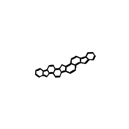 C1=c2ccccc2=c2ccc3c4c(ccc3c21)=c1ccc2c3c(ccc2c1C4)=c1ccccc1=C3